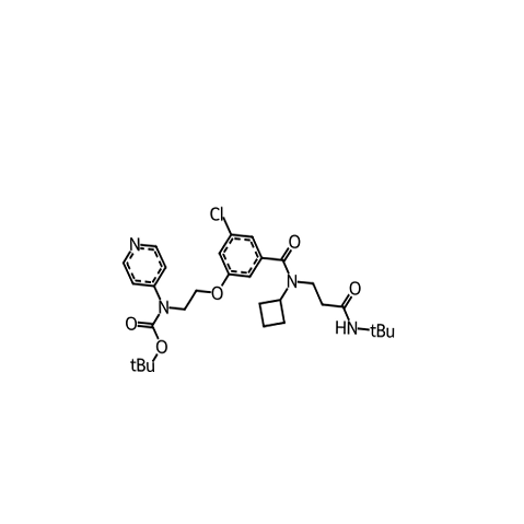 CC(C)(C)NC(=O)CCN(C(=O)c1cc(Cl)cc(OCCN(C(=O)OC(C)(C)C)c2ccncc2)c1)C1CCC1